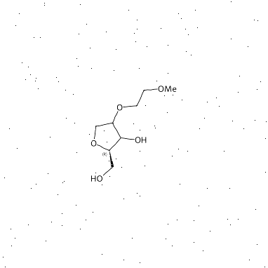 COCCOC1CO[C@H](CO)C1O